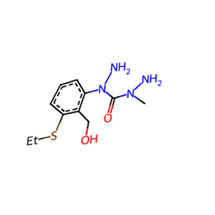 CCSc1cccc(N(N)C(=O)N(C)N)c1CO